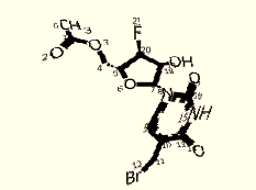 CC(=O)OC[C@H]1O[C@@H](n2cc(CBr)c(=O)[nH]c2=O)[C@H](O)[C@@H]1F